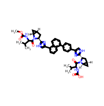 COC(=O)NC(C(=O)N1[C@@H]2C[C@@H]2C[C@H]1c1nc(-c2cccc3c(-c4ccc(-c5c[nH]c([C@@H]6C[C@H]7C[C@H]7N6C(=O)C(NC(=O)O)C(C)C)n5)cc4)cccc23)c[nH]1)C(C)C